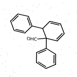 O=CC1(c2ccccc2)C=CC=CC1c1ccccc1